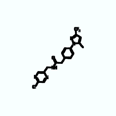 Cc1cc(C(F)(F)F)nn1-c1ccc(CC(=O)NCc2cnc(Cl)cn2)cc1